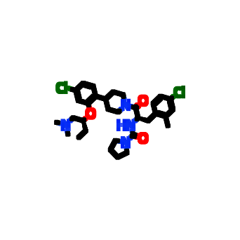 CC[C@@H](CN(C)C)Oc1cc(Cl)ccc1C1CCN(C(=O)[C@@H](Cc2ccc(Cl)cc2C)NC(=O)N2CCCC2)CC1